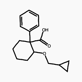 O=C(O)C1(c2ccccc2)CCCCC1OCC1CC1